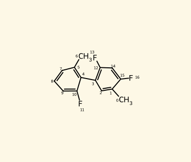 Cc1cc(-c2c(C)cccc2F)c(F)cc1F